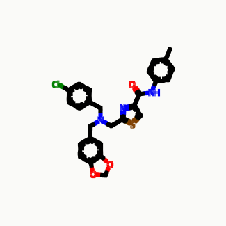 Cc1ccc(NC(=O)c2csc(CN(Cc3ccc(Cl)cc3)Cc3ccc4c(c3)OCO4)n2)cc1